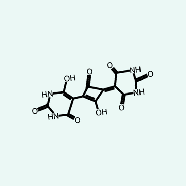 O=C1NC(=O)C(=C2C(=O)C(c3c(O)[nH]c(=O)[nH]c3=O)=C2O)C(=O)N1